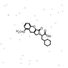 COc1cccc2c1CC1=C(O2)C(=O)N(C(CC2CCCCC2)C(=O)O)C1